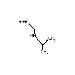 CC(C)NC[C]=O